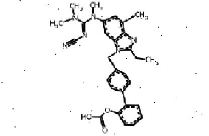 CCc1nc2c(C)cc(N(C)C(=NC#N)N(C)C)cc2n1Cc1ccc(-c2ccccc2OC(=O)O)cc1